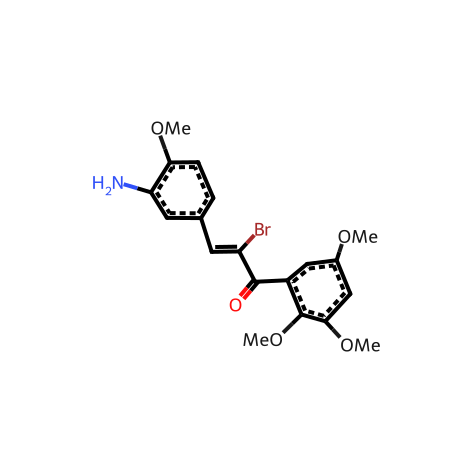 COc1cc(OC)c(OC)c(C(=O)C(Br)=Cc2ccc(OC)c(N)c2)c1